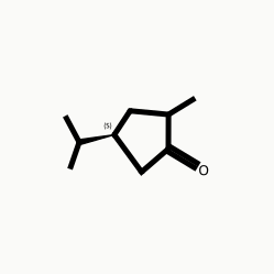 CC1C[C@H](C(C)C)CC1=O